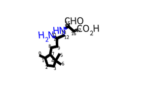 CC1CCC(C)(C)C1CCC(N)CN[C@@H](C=O)CC(=O)O